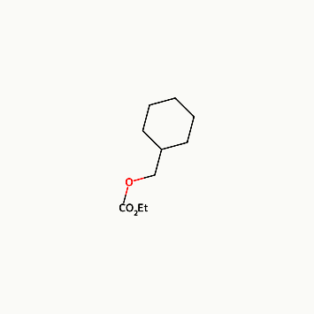 [CH2]COC(=O)OCC1CCCCC1